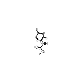 COC(=O)Nc1ccc(I)cc1F